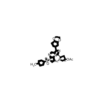 CC(=O)O[C@@H]1C[C@H](c2nc(-c3ccc4c(c3)OCCO4)c3cnc4c(ccn4S(=O)(=O)c4ccc(C)cc4)n23)N(C(C)=O)C1